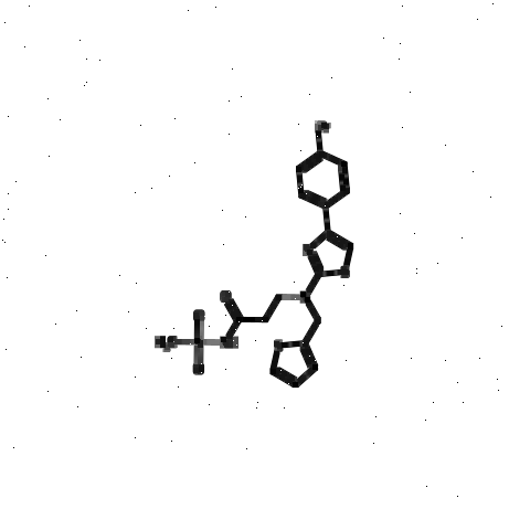 CC(C)c1ccc(-c2csc(N(CCC(=O)NS(C)(=O)=O)Cc3cccs3)n2)cc1